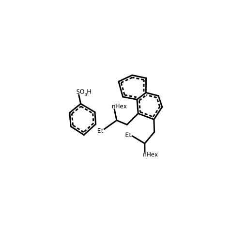 CCCCCCC(CC)Cc1ccc2ccccc2c1CC(CC)CCCCCC.O=S(=O)(O)c1ccccc1